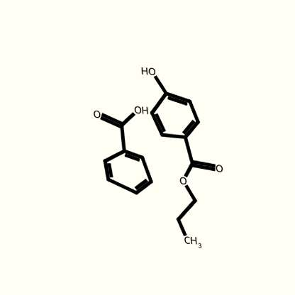 CCCOC(=O)c1ccc(O)cc1.O=C(O)c1ccccc1